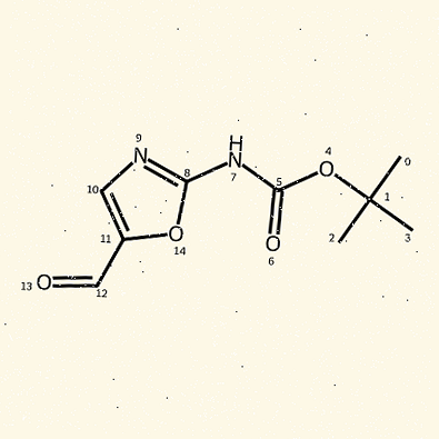 CC(C)(C)OC(=O)Nc1ncc(C=O)o1